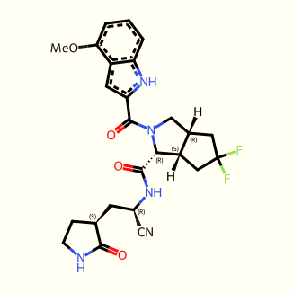 COc1cccc2[nH]c(C(=O)N3C[C@@H]4CC(F)(F)C[C@@H]4[C@@H]3C(=O)N[C@@H](C#N)C[C@@H]3CCNC3=O)cc12